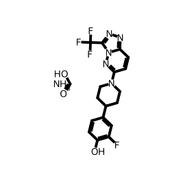 N.O=CO.Oc1ccc(C2CCN(c3ccc4nnc(C(F)(F)F)n4n3)CC2)cc1F